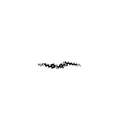 CCCCCCCCC1COC(c2ccc(C(=O)Oc3ccc(CCCCC)cc3)cc2F)OC1